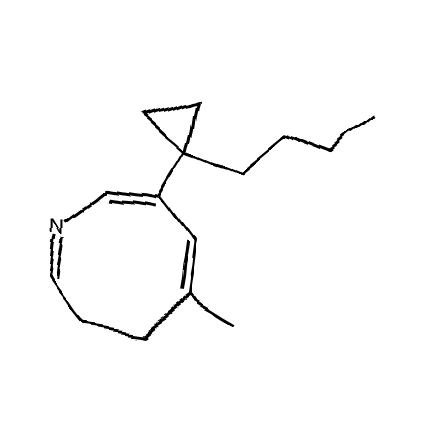 CCCCC1(C2=C/N=C\CC/C(C)=C\2)CC1